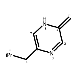 C=C1C=NC(CC(C)C)=CN1